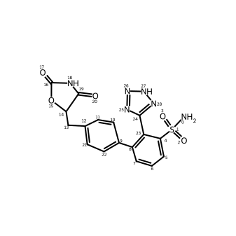 NS(=O)(=O)c1cccc(-c2ccc(CC3OC(=O)NC3=O)cc2)c1-c1nn[nH]n1